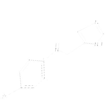 CC(C)(C)c1ccc(NCc2cnc[nH]2)cc1